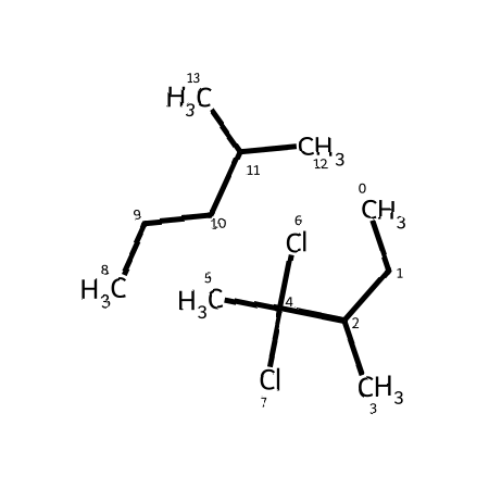 CCC(C)C(C)(Cl)Cl.CCCC(C)C